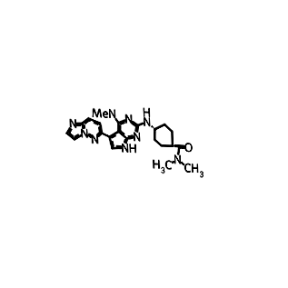 CNc1nc(N[C@H]2CC[C@H](C(=O)N(C)C)CC2)nc2[nH]cc(-c3ccc4nccn4n3)c12